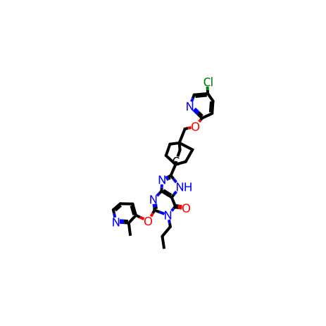 CCCn1c(Oc2cccnc2C)nc2nc(C34CCC(COc5ccc(Cl)cn5)(CC3)CC4)[nH]c2c1=O